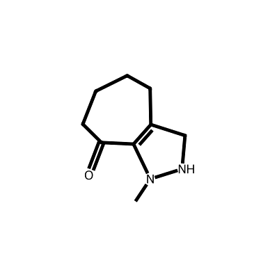 CN1NCC2=C1C(=O)CCCC2